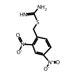 N=C(N)SCc1ccc([N+](=O)[O-])cc1[N+](=O)[O-]